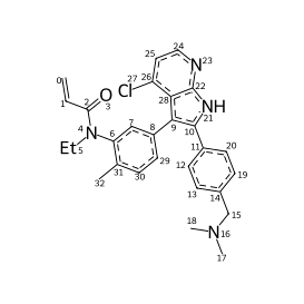 C=CC(=O)N(CC)c1cc(-c2c(-c3ccc(CN(C)C)cc3)[nH]c3nccc(Cl)c23)ccc1C